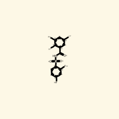 O=C(NS(=O)(=O)c1ccc(F)cc1F)c1cc(I)cc(I)c1I